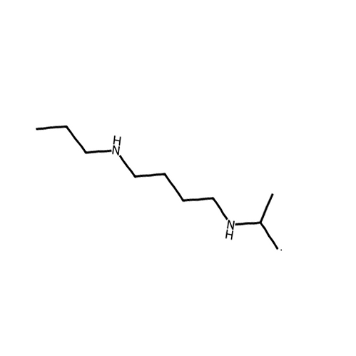 [CH2]C(C)NCCCCNCCC